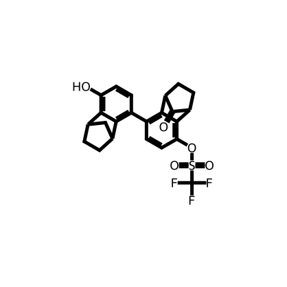 O=C1C2CCC1c1c(-c3ccc(O)c4c3C3CCC4C3)ccc(OS(=O)(=O)C(F)(F)F)c12